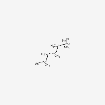 CCN(CC)C(=O)C(C)=CCCC(C)=CCCC(C)=CCCC(C)=CCCC(C)=CCCC(C)=O